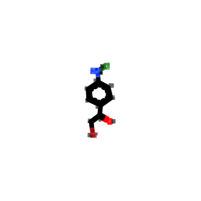 O=C(CBr)c1ccc(NCl)cc1